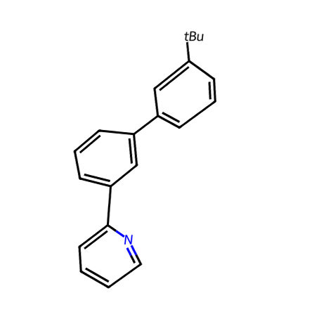 CC(C)(C)c1cccc(-c2cccc(-c3ccccn3)c2)c1